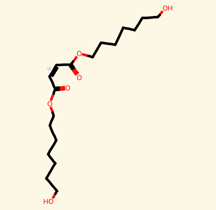 O=C(/C=C\C(=O)OCCCCCCCO)OCCCCCCCO